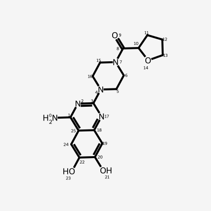 Nc1nc(N2CCN(C(=O)C3CCCO3)CC2)nc2cc(O)c(O)cc12